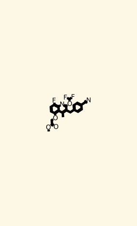 COC(=O)COc1ccc(F)c2nc(OC(F)F)c(Cc3ccc(C#N)cc3)c(C)c12